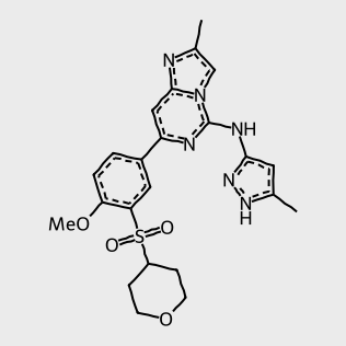 COc1ccc(-c2cc3nc(C)cn3c(Nc3cc(C)[nH]n3)n2)cc1S(=O)(=O)C1CCOCC1